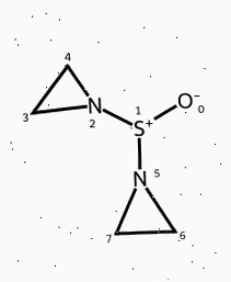 [O-][S+](N1CC1)N1CC1